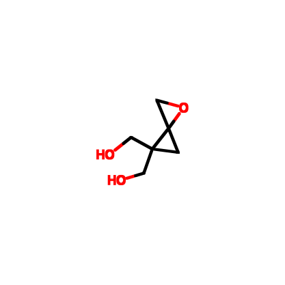 OCC1(CO)CC12CO2